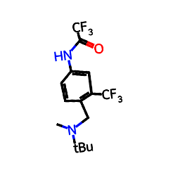 CN(Cc1ccc(NC(=O)C(F)(F)F)cc1C(F)(F)F)C(C)(C)C